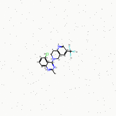 Cc1nc(N2CCc3ncc(C(F)(F)F)cc3C2)c2c(Cl)cccc2n1